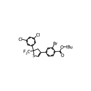 CC(C)(C)OC(=O)c1ccc(C2=CSC(c3cc(Cl)cc(Cl)c3)(C(F)(F)F)C2)cc1Br